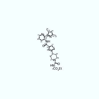 CCOC(=O)NC(=O)N1CCC(c2nc(C(=O)Nc3cccnc3-n3nc(C)cc3C)cs2)CC1